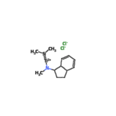 C[N]([Ti+2]=[Si](C)C)C1CCC2C=CC=CC21.[Cl-].[Cl-]